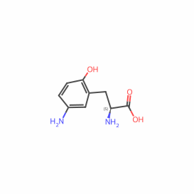 Nc1ccc(O)c(C[C@H](N)C(=O)O)c1